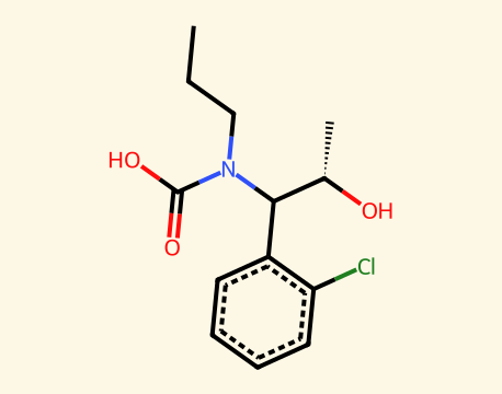 CCCN(C(=O)O)C(c1ccccc1Cl)[C@H](C)O